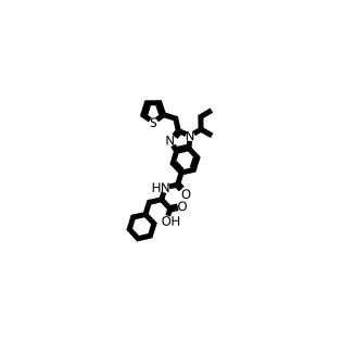 CCC(C)n1c(Cc2cccs2)nc2cc(C(=O)NC(CC3CCCCC3)C(=O)O)ccc21